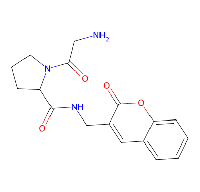 NCC(=O)N1CCCC1C(=O)NCc1cc2ccccc2oc1=O